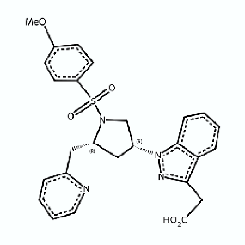 COc1ccc(S(=O)(=O)N2C[C@H](n3nc(CC(=O)O)c4ccccc43)C[C@@H]2Cc2ccccn2)cc1